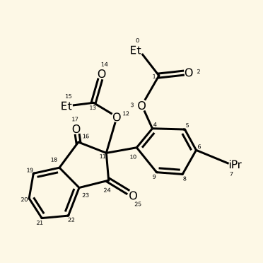 CCC(=O)Oc1cc(C(C)C)ccc1C1(OC(=O)CC)C(=O)c2ccccc2C1=O